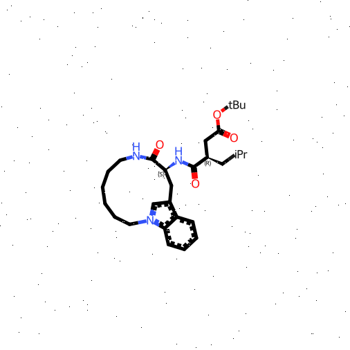 CC(C)C[C@H](CC(=O)OC(C)(C)C)C(=O)N[C@H]1Cc2cn(c3ccccc23)CCCCCCNC1=O